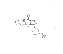 O=c1[nH]c(CC2CCC2)nc2c1cnn2C1CCCN(CC(F)(F)F)C1